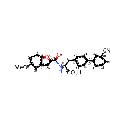 COc1ccc2oc(C(=O)NC(Cc3ccc(-c4cccc(C#N)c4)cc3)C(=O)O)cc2c1